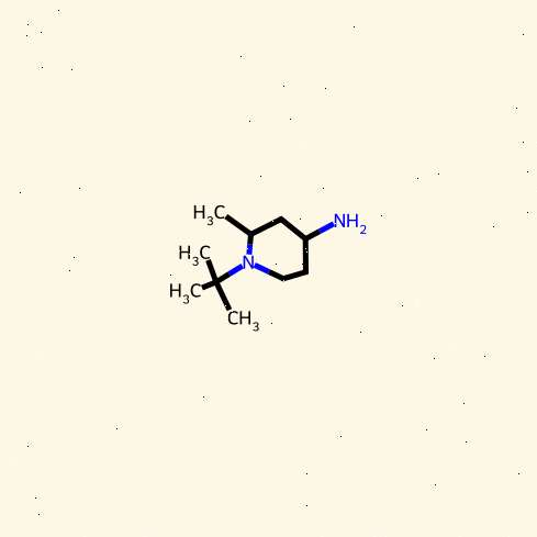 CC1CC(N)CCN1C(C)(C)C